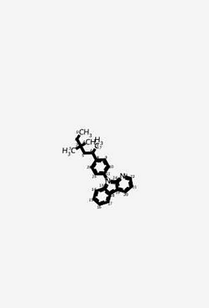 CCC(C)(C)CC(C)c1ccc(-n2c3ccccc3c3cccnc32)cc1